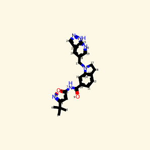 CC(C)(C)c1cc(NC(=O)c2ccc3c(c2)N(Cc2cnc4[nH]ncc4c2)CC3)on1